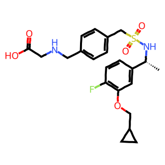 C[C@@H](NS(=O)(=O)Cc1ccc(CNCC(=O)O)cc1)c1ccc(F)c(OCC2CC2)c1